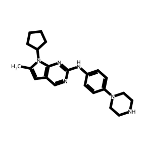 Cc1cc2cnc(Nc3ccc(N4CCNCC4)cc3)nc2n1C1CCCC1